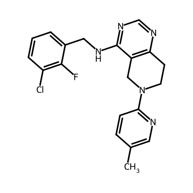 Cc1ccc(N2CCc3ncnc(NCc4cccc(Cl)c4F)c3C2)nc1